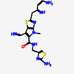 Cn1c(C(=O)NCc2csc(N)n2)c(C=N)c2sc(CC(=N)/C=C\N)nc21